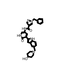 O=C(Nc1c[nH]c(=O)c(-c2cc3cc(CN4CCC(O)CC4)ccc3[nH]2)c1)c1cnn(Cc2ccccc2)c1